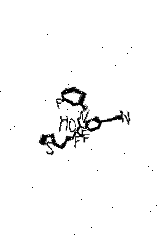 N#Cc1ccc2c(C(O)(CCCc3cccs3)C(F)(F)F)cn(Cc3cccc(F)c3)c2c1